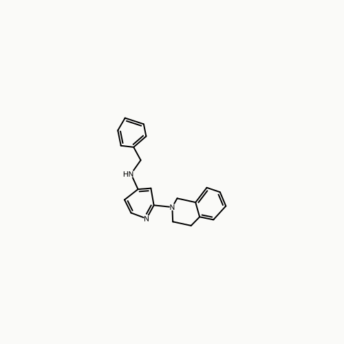 c1ccc(CNc2ccnc(N3CCc4ccccc4C3)c2)cc1